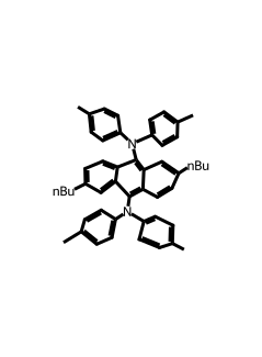 CCCCc1ccc2c(N(c3ccc(C)cc3)c3ccc(C)cc3)c3cc(CCCC)ccc3c(N(c3ccc(C)cc3)c3ccc(C)cc3)c2c1